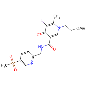 COCCn1cc(C(=O)NCc2ccc(S(C)(=O)=O)cn2)c(=O)c(I)c1C